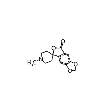 CN1CCC2(CC1)OC(=O)c1cc3c(cc12)OCO3